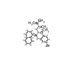 COc1ccc(Br)cc1CN(CCC(C)N(C)C)c1cccc2ccccc12